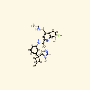 CC(C)CNCc1cc(C(=O)Nc2cccc(C3(c4nncn4C)CC(C)C3)c2)nc2c1CCC2(F)F